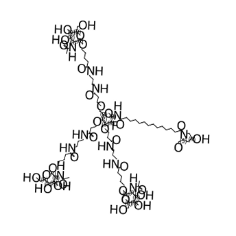 COC[C@@H]1C[C@@H](O)CN1C(=O)CCCCCCCCCCCCC(=O)N[C@@H]1O[C@H](COCCC(=O)NCCCNC(=O)CCCCO[C@@H]2O[C@H](CO)[C@H](O)[C@H](O)[C@H]2NC(C)=O)[C@@H](OCCC(=O)NCCCNC(=O)CCCCO[C@@H]2O[C@H](CO)[C@H](O)[C@H](O)[C@H]2NC(C)=O)[C@H](OCCC(=O)NCCCNC(=O)CCCCO[C@@H]2O[C@H](CO)[C@H](O)[C@H](O)[C@H]2NC(C)=O)[C@H]1F